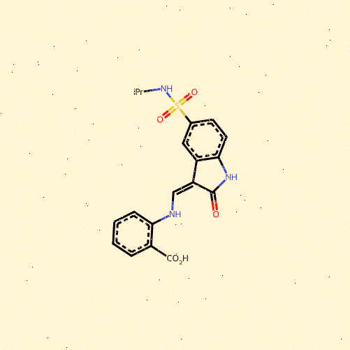 CC(C)NS(=O)(=O)c1ccc2c(c1)/C(=C/Nc1ccccc1C(=O)O)C(=O)N2